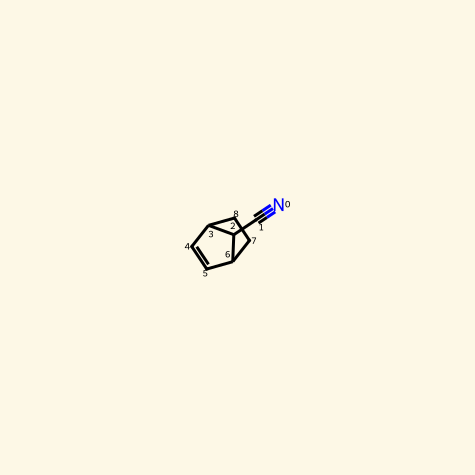 N#CC1C2C=CC1CC2